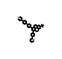 CC(C)(C)c1cc2c3c(ccc4c(-c5ccc(-c6ccc(-c7ccncc7)cc6)cc5)cc(-c5ccc(-c6ccccn6)cc5)c(c43)CC2)c1